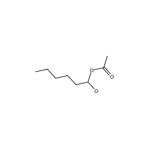 CCCCCC([O])OC(C)=O